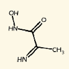 CC(=N)C(=O)NO